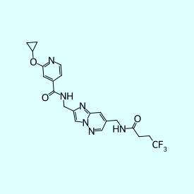 O=C(CCC(F)(F)F)NCc1cnn2cc(CNC(=O)c3ccnc(OC4CC4)c3)nc2c1